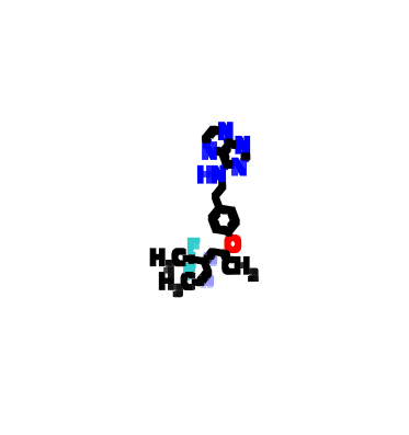 C=C(/C=C(\C=C/C)C(C)(F)F)Oc1ccc(CCNc2ncnc3nccnc23)cc1